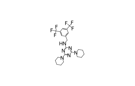 FC(F)(F)c1cc(CNc2nc(N3CCCCC3)nc(N3CCCCC3)n2)cc(C(F)(F)F)c1